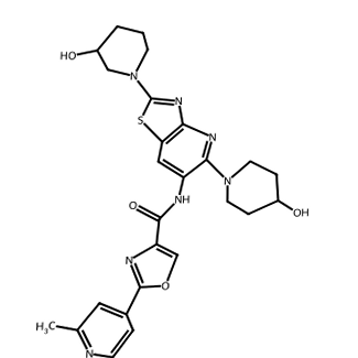 Cc1cc(-c2nc(C(=O)Nc3cc4sc(N5CCCC(O)C5)nc4nc3N3CCC(O)CC3)co2)ccn1